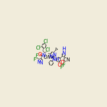 CON(C(=O)c1cn(C)nc1C(F)F)C(C)Cc1c(Cl)cc(Cl)cc1Cl.Cc1cc(C2CC2)nc(Nc2ccccc2)n1.N#Cc1c[nH]cc1-c1cccc2c1OC(F)(F)O2